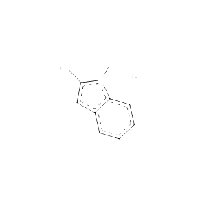 CCCc1cc2ccccc2[s+]1C(F)(F)F.[Br-]